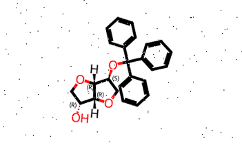 O[C@@H]1CO[C@H]2[C@@H]1OC[C@@H]2OC(c1ccccc1)(c1ccccc1)c1ccccc1